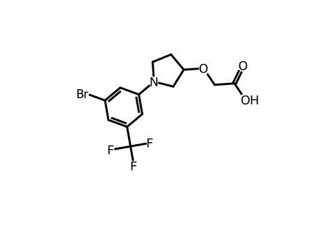 O=C(O)COC1CCN(c2cc(Br)cc(C(F)(F)F)c2)C1